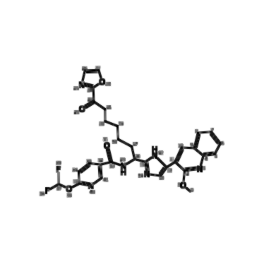 COc1nc2ccccc2cc1-c1cnc(C(CCCCCC(=O)c2ncco2)NC(=O)c2ccc(OC(F)F)nc2)[nH]1